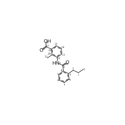 CCCc1ccccc1C(=O)Nc1cccc(C(=O)O)c1C